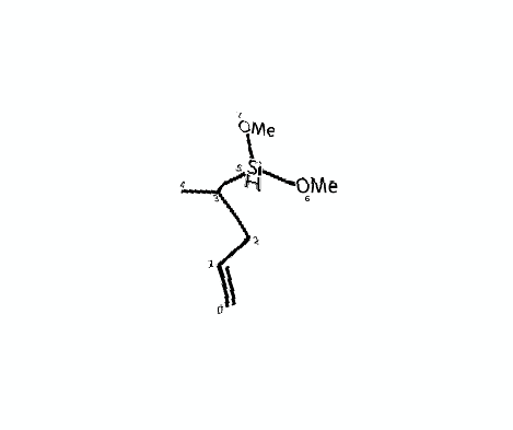 C=CCC(C)[SiH](OC)OC